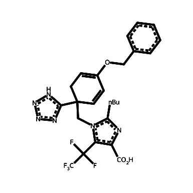 CCCCc1nc(C(=O)O)c(C(F)(F)C(F)(F)F)n1CC1(c2nnn[nH]2)C=CC(OCc2ccccc2)=CC1